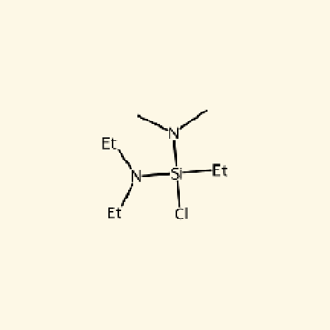 CCN(CC)[Si](Cl)(CC)N(C)C